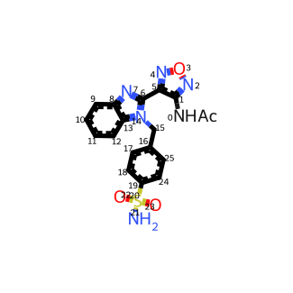 CC(=O)Nc1nonc1-c1nc2ccccc2n1Cc1ccc(S(N)(=O)=O)cc1